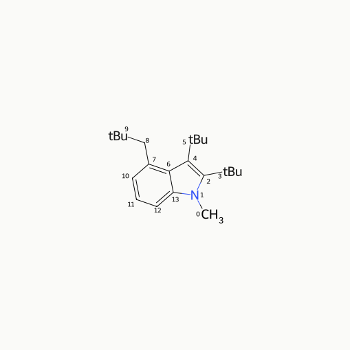 Cn1c(C(C)(C)C)c(C(C)(C)C)c2c(CC(C)(C)C)cccc21